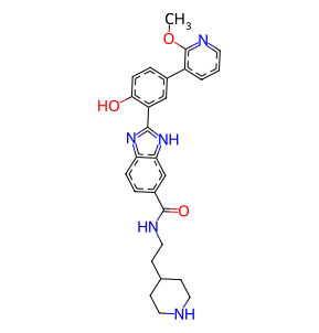 COc1ncccc1-c1ccc(O)c(-c2nc3ccc(C(=O)NCCC4CCNCC4)cc3[nH]2)c1